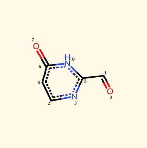 O=Cc1nccc(=O)[nH]1